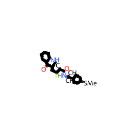 CSc1ccc(C(C)(C)NC(=O)c2cc3[nH]c4ccccc4c(=O)c3cc2F)cc1